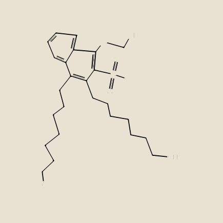 CCCCCCCCc1c(S(=O)(=O)O)c(OCC)c2ccccc2c1CCCCCCCC